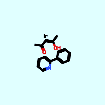 CC(=O)/C=C(/C)O.[Ir].c1ccc(-c2ccccn2)cc1